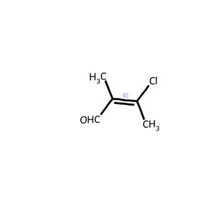 C/C(Cl)=C(/C)C=O